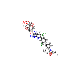 CS(C)(=O)=Nc1ccc(-c2ccc(-c3nc4[nH]c(O[C@@H]5CO[C@H]6[C@@H]5OC[C@H]6O)nc4cc3Cl)cc2F)cc1